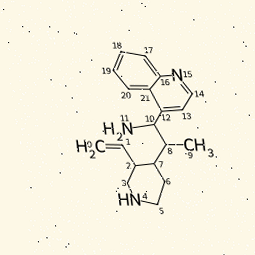 C=CC1CNCCC1C(C)C(N)c1ccnc2ccccc12